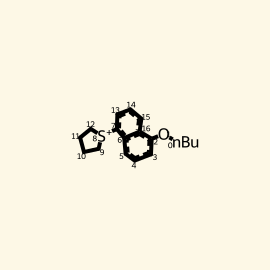 CCCCOc1cccc2c([S+]3CCCC3)cccc12